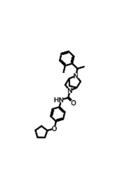 Cc1ccccc1C(C)N1CC2CC1CN2C(=O)Nc1ccc(OC2CCCC2)cc1